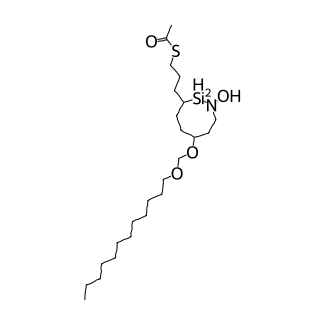 CCCCCCCCCCCCOCOC1CCC(CCCSC(C)=O)[SiH2]N(O)CC1